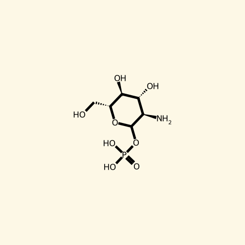 N[C@H]1C(OP(=O)(O)O)O[C@H](CO)[C@@H](O)[C@@H]1O